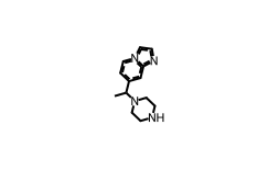 CC(c1ccn2ccnc2c1)N1CCNCC1